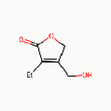 CCC1=C(CO)COC1=O